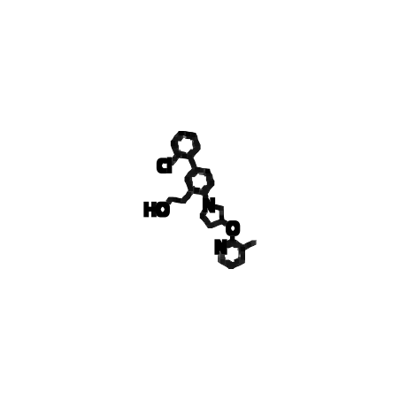 Cc1cccnc1OC1CCN(c2ccc(-c3ccccc3Cl)cc2CCO)C1